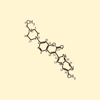 CCN1CCN(c2ccc3cc(-c4cn5cc(C)ncc5n4)c(=O)oc3c2)CC1